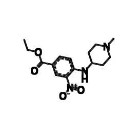 CCOC(=O)c1ccc(NC2CCN(C)CC2)c([N+](=O)[O-])c1